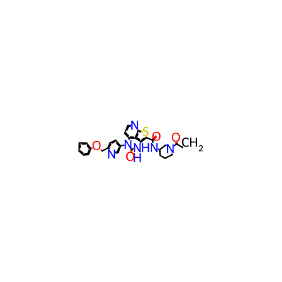 C=CC(=O)N1CCCC(NC(=O)c2sc3nccc4c3c2NC(=O)N4c2ccc(COc3ccccc3)nc2)C1